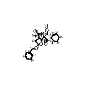 C[C@]12OC(OCc3ccccc3)C[C@H]1C(=O)N[C@]2(CO)C(=O)[C@@H]1C=CCCC1